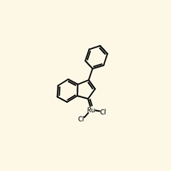 [Cl][Ru]([Cl])=[C]1C=C(c2ccccc2)c2ccccc21